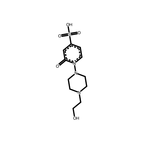 O=c1cc(S(=O)(=O)O)ccn1N1CCN(CCO)CC1